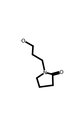 [O]CCCN1CCCC1=O